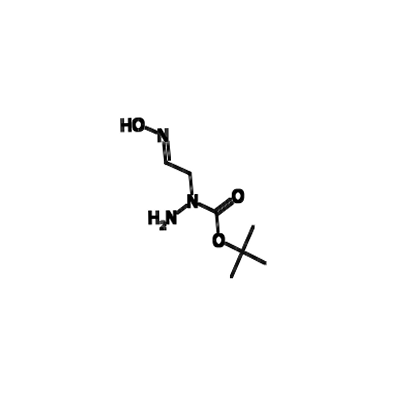 CC(C)(C)OC(=O)N(N)CC=NO